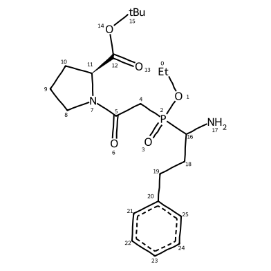 CCOP(=O)(CC(=O)N1CCC[C@H]1C(=O)OC(C)(C)C)C(N)CCc1ccccc1